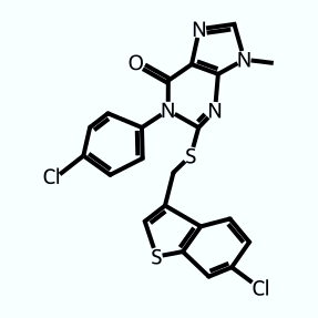 Cn1cnc2c(=O)n(-c3ccc(Cl)cc3)c(SCc3csc4cc(Cl)ccc34)nc21